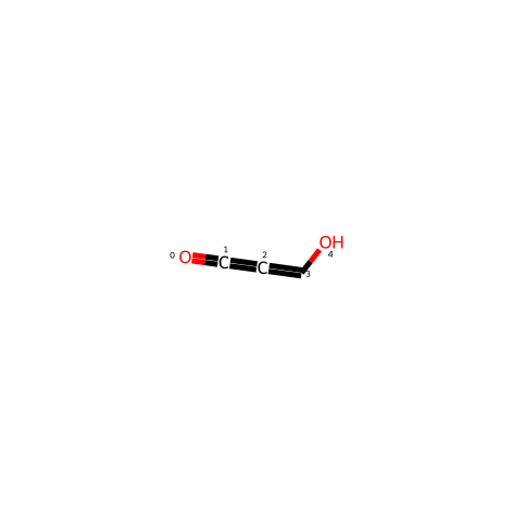 O=C=C=CO